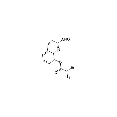 CCC(Br)C(=O)Oc1cccc2ccc(C=O)nc12